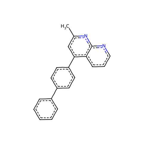 Cc1cc(-c2ccc(-c3ccccc3)cc2)c2cccnc2n1